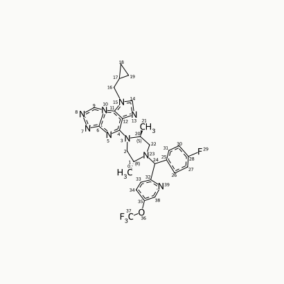 C[C@@H]1CN(c2nc3nncn3c3c2ncn3CC2CC2)[C@@H](C)CN1C(c1ccc(F)cc1)c1ccc(OC(F)(F)F)cn1